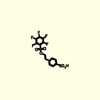 O=S(=O)(O)c1ccc(/C=C/OS(=O)(=O)c2c(F)c(F)c(F)c(F)c2F)cc1